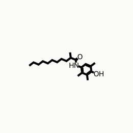 CCCCCCCCCC(C)C(=O)Nc1cc(C)c(O)c(C)c1C